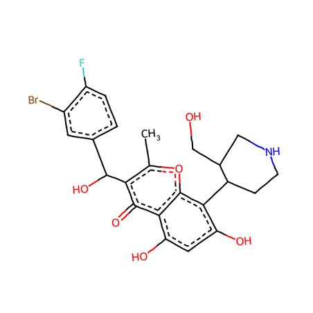 Cc1oc2c(C3CCNCC3CO)c(O)cc(O)c2c(=O)c1C(O)c1ccc(F)c(Br)c1